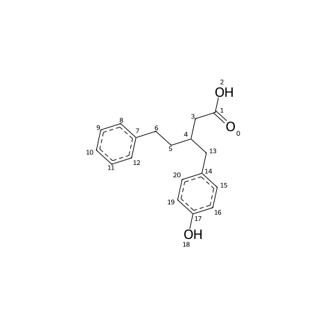 O=C(O)CC(CCc1ccccc1)Cc1ccc(O)cc1